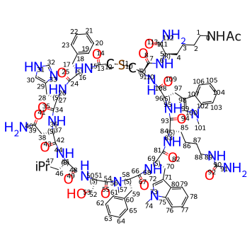 CC(=O)NCCCC[C@@H](NC(=O)[C@@H]1CSCC(=O)N[C@@H](Cc2ccccc2)C(=O)N[C@@H](Cc2c[nH]cn2)C(=O)N[C@@H](CC(N)=O)C(=O)N[C@@H](CC(C)C)C(=O)N[C@@H](CO)C(=O)N(C)[C@@H](Cc2ccccc2)C(=O)N[C@@H](Cc2cn(C)c3ccccc23)C(=O)N[C@@H](CCCCNC(N)=O)C(=O)N[C@@H](Cc2cn(C)c3ccccc23)C(=O)N1)C(N)=O